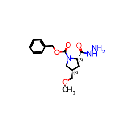 COC[C@@H]1C[C@@H](C(=O)NN)N(C(=O)OCc2ccccc2)C1